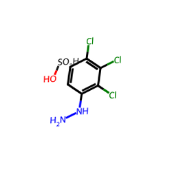 NNc1ccc(Cl)c(Cl)c1Cl.O=S(=O)(O)O